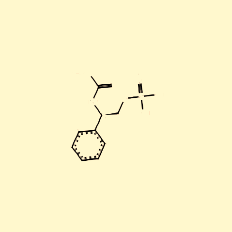 CCCCCCCC(=O)N[C@@H](COP(=O)(O)O)c1ccccc1